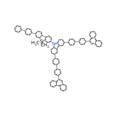 C[Si]1(C)c2cc(-c3ccc(-c4ccccc4)cc3)ccc2-c2ccc(-n3c4ccc(-c5ccc(-c6ccc(-c7cc8ccccc8c8ccccc78)cc6)cc5)cc4c4cc(-c5ccc(-c6ccc(-c7cc8ccccc8c8ccccc78)cc6)cc5)ccc43)cc21